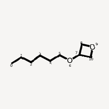 CCCCCCOC1COC1